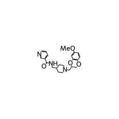 COc1ccc2c(c1)OC(CN1CCC(CNC(=O)c3cccnc3)CC1)CO2